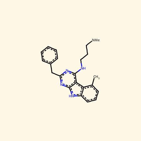 CNCCCNc1nc(Cc2ccccc2)nc2[nH]c3cccc(C)c3c12